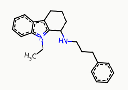 CCn1c2c(c3ccccc31)CCCC2NCCCc1ccccc1